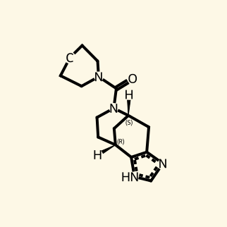 O=C(N1CCCCC1)N1CC[C@@H]2C[C@H]1Cc1nc[nH]c12